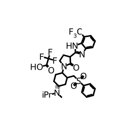 CC(C)N(C)[C@@H]1CCC(N2CCC(c3nc4cccc(C(F)(F)F)c4[nH]3)C2=O)C(CS(=O)(=O)c2ccccc2)C1.O=C(O)C(F)(F)F